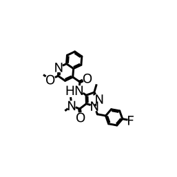 COc1cc(C(=O)Nc2c(C)nn(Cc3ccc(F)cc3)c2C(=O)N(C)C)c2ccccc2n1